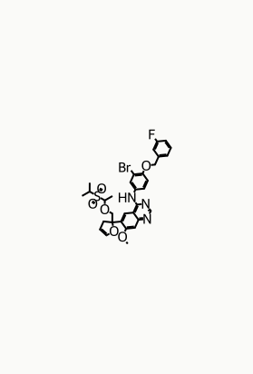 COc1cc2ncnc(Nc3ccc(OCc4cccc(F)c4)c(Br)c3)c2cc1C1(COC(C)S(=O)(=O)C(C)C)CC=CO1